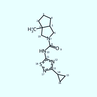 CC12CCCC1CN(C(=O)Nc1nc(C3CC3)ns1)C2